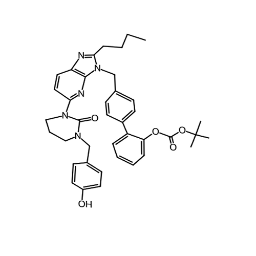 CCCCc1nc2ccc(N3CCCN(Cc4ccc(O)cc4)C3=O)nc2n1Cc1ccc(-c2ccccc2OC(=O)OC(C)(C)C)cc1